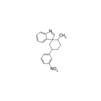 CC1CCC(c2cccc([N+](=O)[O-])c2)CC12C=Nc1ccccc12